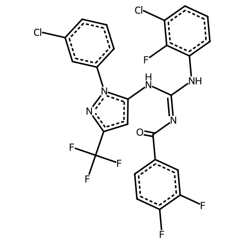 O=C(/N=C(/Nc1cccc(Cl)c1F)Nc1cc(C(F)(F)F)nn1-c1cccc(Cl)c1)c1ccc(F)c(F)c1